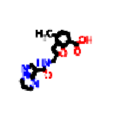 Cc1ccc(C(=O)O)c2oc(CNC(=O)c3cnn4cccnc34)cc12